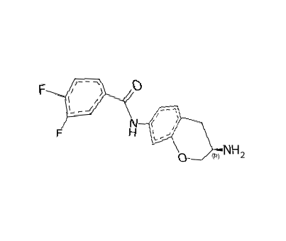 N[C@H]1COc2cc(NC(=O)c3ccc(F)c(F)c3)ccc2C1